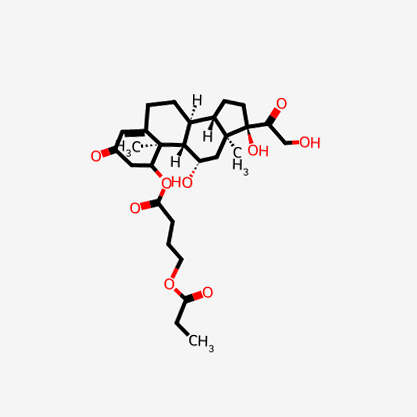 CCC(=O)OCCCC(=O)OC1CC(=O)C=C2CC[C@@H]3[C@H]([C@@H](O)C[C@@]4(C)[C@H]3CC[C@]4(O)C(=O)CO)[C@]21C